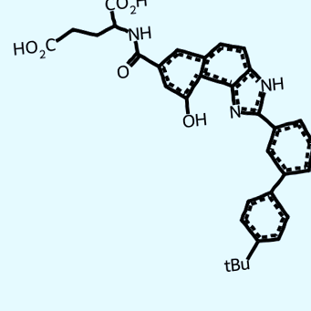 CC(C)(C)c1ccc(-c2cccc(-c3nc4c(ccc5cc(C(=O)NC(CCC(=O)O)C(=O)O)cc(O)c54)[nH]3)c2)cc1